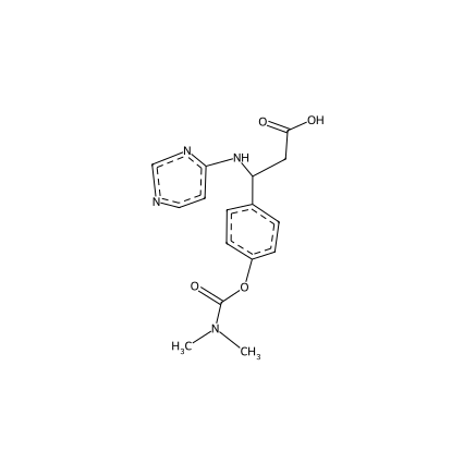 CN(C)C(=O)Oc1ccc(C(CC(=O)O)Nc2ccncn2)cc1